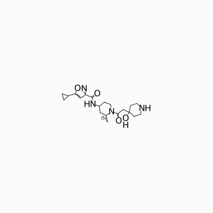 C[C@H]1CC(NC(=O)c2cc(C3CC3)on2)CCN1C(=O)CC1(O)CCNCC1